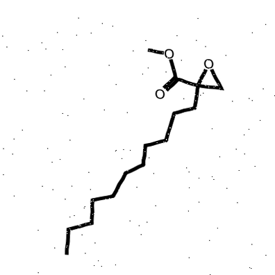 CCCCCCCCCCCC1(C(=O)OC)CO1